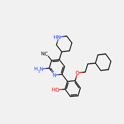 N#Cc1c(C2CCCNC2)cc(-c2c(O)cccc2OCCC2CCCCC2)nc1N